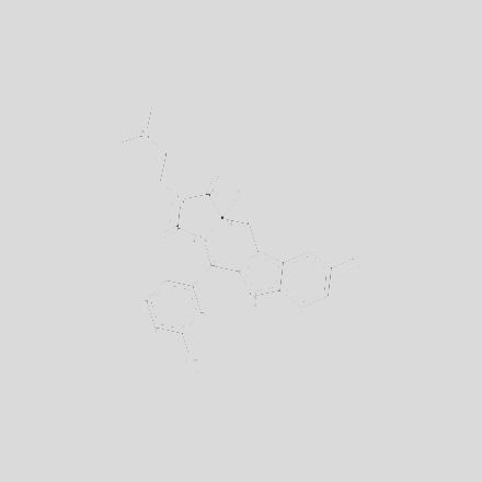 CN(C)CCN1C(=O)N2C(c3cccc(O)c3)c3[nH]c4ccc(Br)cc4c3CC2(C)C1=O